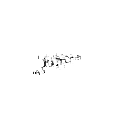 CCCOCCC[Si](C)(C)O[C@H](C)[Si](C)(C)OC(CC)[Si](C)(C)CCCOCC